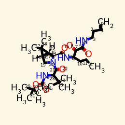 C=CCCNC(=O)C(=O)C(CCC)NC(=O)[C@@H]1[C@@H]2[C@H](CN1C(=O)C(NC(=O)OC(C)(C)C)C(C)(C)C)C2(C)C